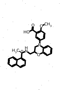 COc1ccc(N2CC(CN[C@H](C)c3cccc4ccccc34)Oc3ccccc32)cc1C(=O)O